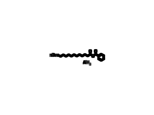 CCCCCCCCCCCCCCCCCCCCCC(=O)OC(=O)c1ccccc1.[AlH3]